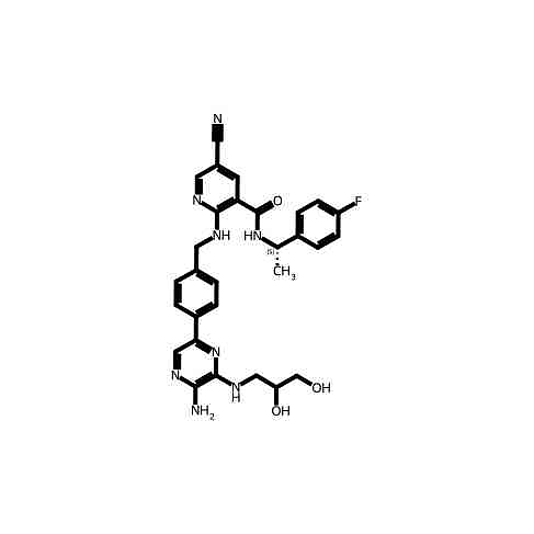 C[C@H](NC(=O)c1cc(C#N)cnc1NCc1ccc(-c2cnc(N)c(NCC(O)CO)n2)cc1)c1ccc(F)cc1